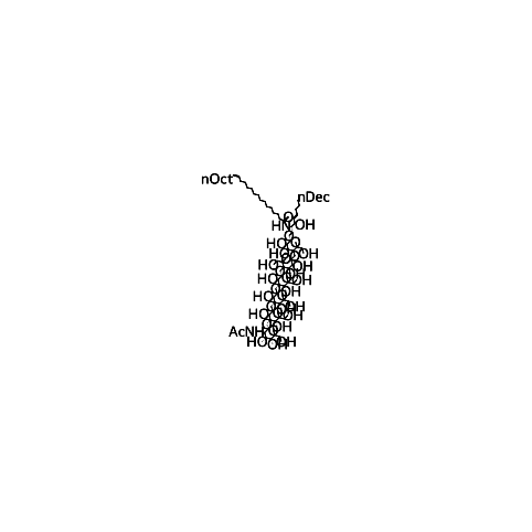 CCCCCCCC/C=C\CCCCCCCCCCCCCC(=O)N[C@@H](CO[C@@H]1OC(CO)[C@@H](O[C@@H]2OC(CO)[C@H](O[C@@H]3OC(CO)[C@H](O)[C@H](O[C@H]4OC(CO)[C@H](O)[C@H](O[C@H]5OC(CO)[C@H](O)[C@H](O[C@@H]6OC(CO)[C@H](O)[C@H](O)C6NC(C)=O)C5O)C4O)C3O)[C@H](O)C2O)[C@H](O)C1O)[C@H](O)/C=C/CCCCCCCCCCCCC